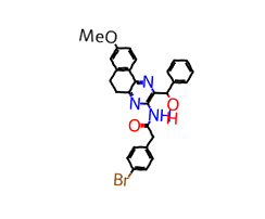 COc1ccc2c(c1)CCc1nc(NC(=O)Cc3ccc(Br)cc3)c(C(O)c3ccccc3)nc1-2